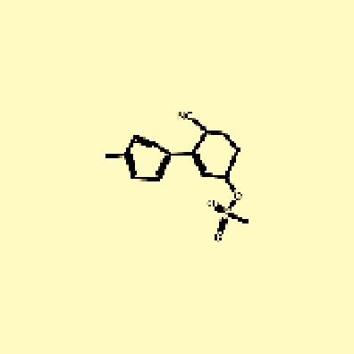 Cc1ccc(C2=CC(OS(C)(=O)=O)CCC2C#N)cc1